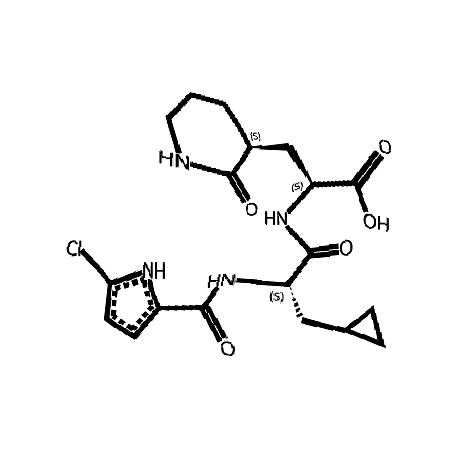 O=C(N[C@@H](CC1CC1)C(=O)N[C@@H](C[C@@H]1CCCNC1=O)C(=O)O)c1ccc(Cl)[nH]1